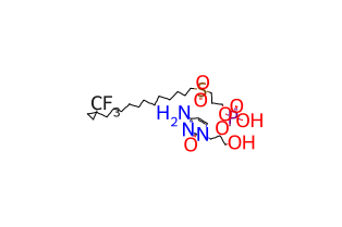 Nc1ccn(CC(CO)OCP(=O)(O)OCCCS(=O)(=O)CCCCCCCCCCCCC2(C(F)(F)F)CC2)c(=O)n1